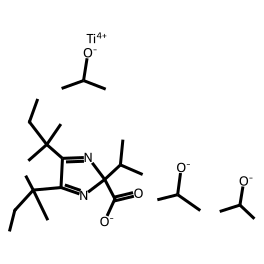 CC(C)[O-].CC(C)[O-].CC(C)[O-].CCC(C)(C)C1=NC(C(=O)[O-])(C(C)C)N=C1C(C)(C)CC.[Ti+4]